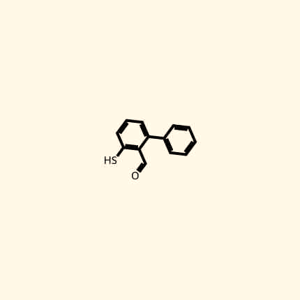 O=Cc1c(S)cccc1-c1ccccc1